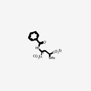 CCOC(=O)C(C[C@H](NC(=O)c1ccccc1)C(=O)OCC)NC